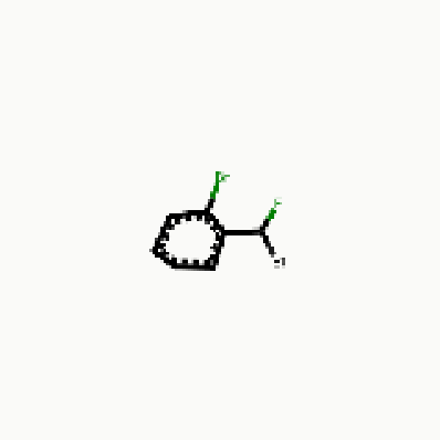 CCC(F)c1ccccc1Br